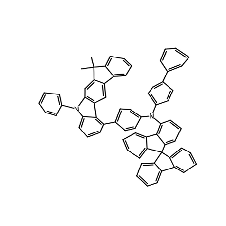 CC1(C)c2ccccc2-c2cc3c4c(-c5ccc(N(c6ccc(-c7ccccc7)cc6)c6cccc7c6-c6ccccc6C76c7ccccc7-c7ccccc76)cc5)cccc4n(-c4ccccc4)c3cc21